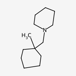 CC1(CN2CCCCC2)CCCCC1